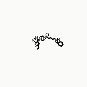 CCc1cc2c(N3CCN(C(=O)CCCCn4cc5ccccc5n4)CC3)ncnc2s1